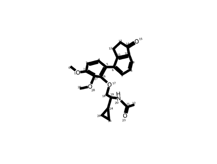 COc1ccc(-c2cccc3c2CCC3=O)c(OCC(NC(C)=O)C2CC2)c1OC